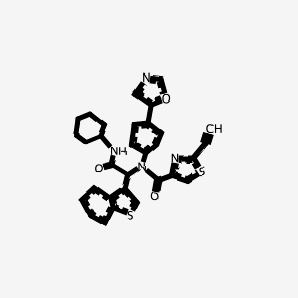 C#Cc1nc(C(=O)N(c2ccc(-c3cnco3)cc2)C(C(=O)NC2CCCCC2)c2csc3ccccc23)cs1